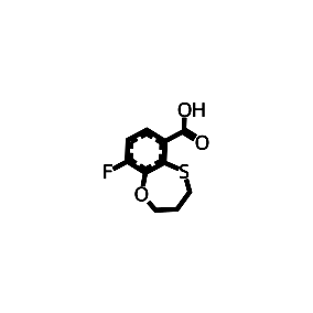 O=C(O)c1ccc(F)c2c1SCCCO2